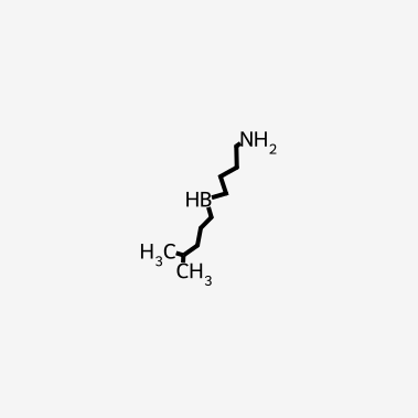 CC(C)CCCBCCCCN